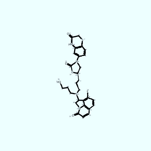 O=C1CSc2ccc(N3C[C@@H](CCCN(CCCO)C4Cn5c(=O)ccc6ccc(F)c4c65)OC3=O)cc2N1